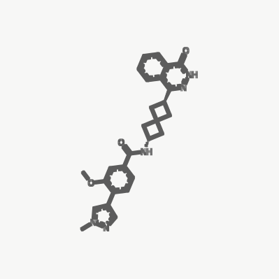 COc1cc(C(=O)N[C@H]2CC3(C2)C[C@H](c2n[nH]c(=O)c4ccccc42)C3)ccc1-c1cnn(C)c1